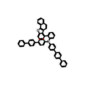 c1ccc(-c2ccc(-c3ccc(N(c4ccc(-c5ccc(-c6ccccc6)cc5)cc4)c4ccccc4-c4cccc5oc6c7ccccc7ccc6c45)cc3)cc2)cc1